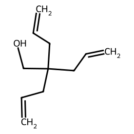 C=CCC(CO)(CC=C)CC=C